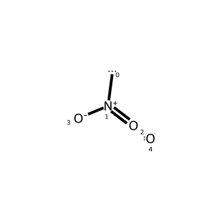 [C][N+](=O)[O-].[O]